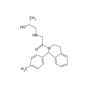 Cc1ccc(C2c3ccccc3CCN2C(=O)CNC[C@@H](C)O)cc1